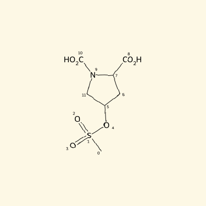 CS(=O)(=O)OC1CC(C(=O)O)N(C(=O)O)C1